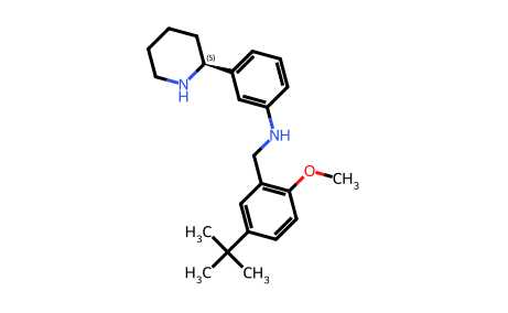 COc1ccc(C(C)(C)C)cc1CNc1cccc([C@@H]2CCCCN2)c1